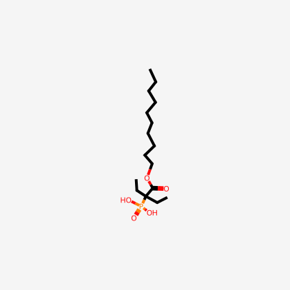 CCCCCCCCCCOC(=O)C(CC)(CC)P(=O)(O)O